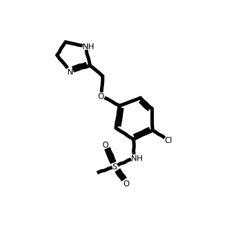 CS(=O)(=O)Nc1cc(OCC2=NCCN2)ccc1Cl